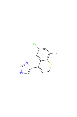 Clc1cc(Cl)c2c(c1)C(c1c[nH]cn1)=CCS2